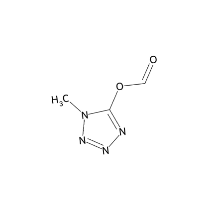 Cn1nnnc1OC=O